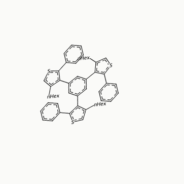 CCCCCCc1csc(-c2ccccc2)c1-c1cc(-c2c(CCCCCC)csc2-c2ccccc2)cc(-c2c(CCCCCC)csc2-c2ccccc2)c1